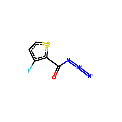 [N-]=[N+]=NC(=O)c1sccc1F